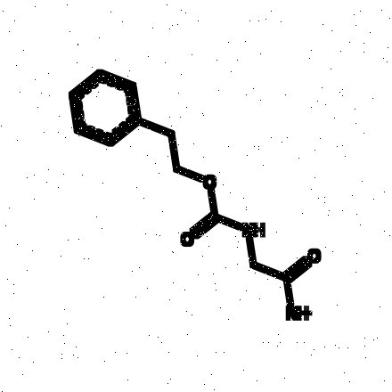 [NH]C(=O)CNC(=O)OCCc1ccccc1